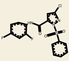 O=C(Nc1ccc(F)cc1F)c1cc(Cl)nn1S(=O)(=O)c1ccccc1